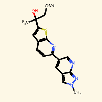 COCC(O)(c1cc2ccc(-c3cnc4nn(C)cc4c3)nc2s1)C(F)(F)F